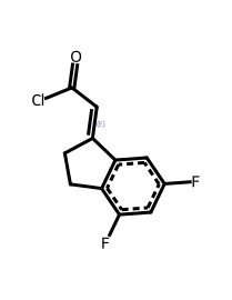 O=C(Cl)/C=C1\CCc2c(F)cc(F)cc21